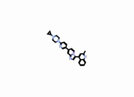 Cc1cc(-c2cnc3cc(-c4ccc(N5CCN(C6CC6)CC5)nc4)ccn23)c2ccccc2n1